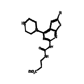 CCOC(=O)CCNC(=O)Nc1nc(N2CCNCC2)c2cc(CC)sc2n1